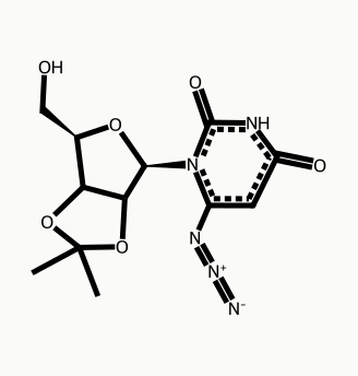 CC1(C)OC2C(O1)[C@@H](CO)O[C@H]2n1c(N=[N+]=[N-])cc(=O)[nH]c1=O